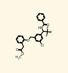 COC(=O)Cc1ccccc1OCc1cc(Cl)cc(C(NC(=O)c2ccccc2)C(F)(F)F)c1